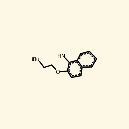 CCC(C)CCOc1ccc2ccccc2c1[NH]